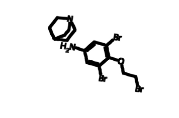 C1CN2CCC1CC2.Nc1cc(Br)c(OCCBr)c(Br)c1